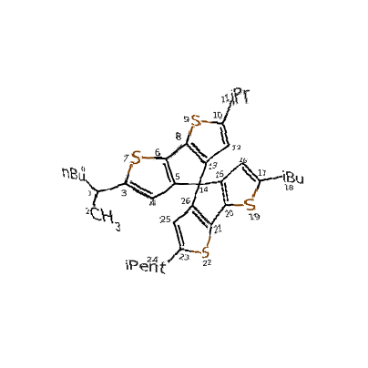 CCCCC(C)c1cc2c(s1)-c1sc(C(C)C)cc1C21c2cc(C(C)CC)sc2-c2sc(C(C)CCC)cc21